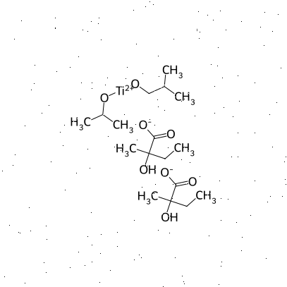 CC(C)C[O][Ti+2][O]C(C)C.CCC(C)(O)C(=O)[O-].CCC(C)(O)C(=O)[O-]